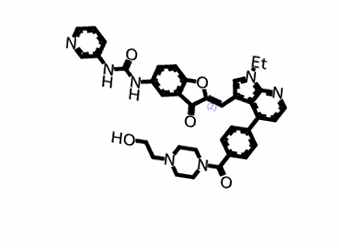 CCn1cc(/C=C2\Oc3ccc(NC(=O)Nc4cccnc4)cc3C2=O)c2c(-c3ccc(C(=O)N4CCN(CCO)CC4)cc3)ccnc21